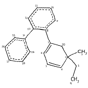 CCC1(C)C=CC=C(c2ccccc2-c2ccccc2)C1